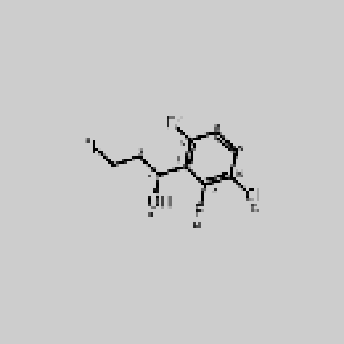 O[C@@H](CCI)c1c(F)ccc(Cl)c1F